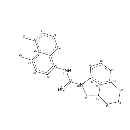 Cc1cccc2c(NC(=N)N3CC4CCCc5cccc3c54)ccc(C)c12